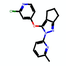 Cc1cccc(-n2nc3c(c2Oc2ccnc(Cl)c2)CCC3)n1